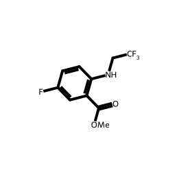 COC(=O)c1cc(F)ccc1NCC(F)(F)F